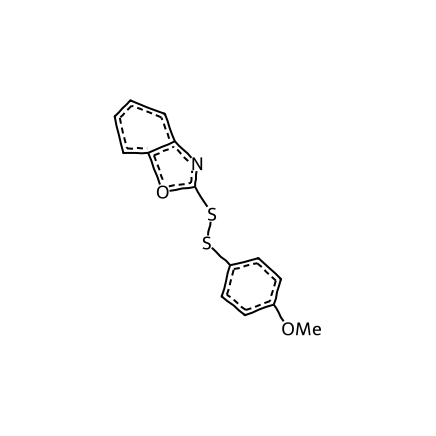 COc1ccc(SSc2nc3ccccc3o2)cc1